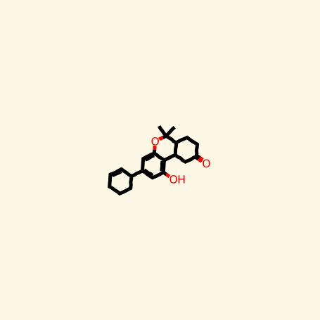 CC1(C)Oc2cc(C3C=CCCC3)cc(O)c2C2CC(=O)CCC21